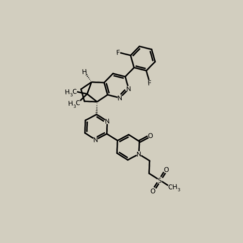 CC1(C)[C@H]2CC[C@]1(c1ccnc(-c3ccn(CCS(C)(=O)=O)c(=O)c3)n1)c1nnc(-c3c(F)cccc3F)cc12